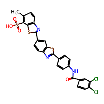 Cc1ccc2nc(-c3ccc4nc(-c5ccc(NC(=O)c6ccc(Cl)c(Cl)c6)cc5)sc4c3)sc2c1S(=O)(=O)O